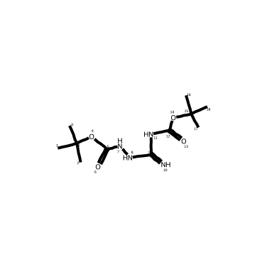 CC(C)(C)OC(=O)NNC(=N)NC(=O)OC(C)(C)C